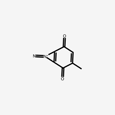 CC1=CC(=O)C2=C(C1=O)[N+]2=[N-]